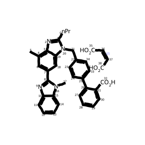 CCCc1nc2c(C)cc(-c3nc4ccccc4n3C)cc2n1Cc1ccc(-c2ccccc2C(=O)O)cc1.O=C(O)/C=C\C(=O)O